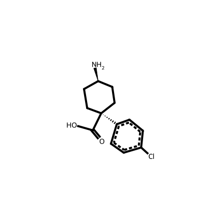 N[C@H]1CC[C@](C(=O)O)(c2ccc(Cl)cc2)CC1